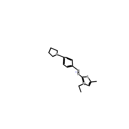 CC[n+]1cc(C)sc1/N=N/c1ccc(N2CCCC2)cc1